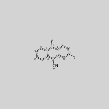 Cc1ccc2c(C)c3ccccc3c(C#N)c2c1